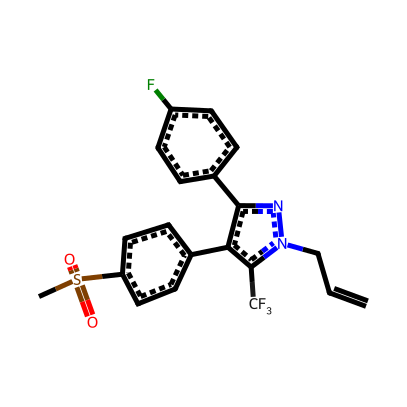 C=CCn1nc(-c2ccc(F)cc2)c(-c2ccc(S(C)(=O)=O)cc2)c1C(F)(F)F